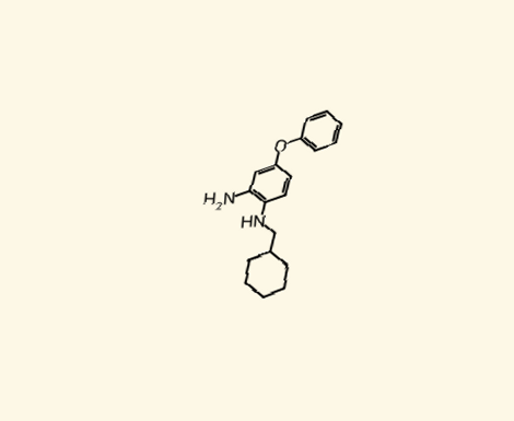 Nc1cc(Oc2ccccc2)ccc1NCC1CCCCC1